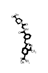 Cc1nnc(Cc2cccc(C(=O)NCC(=O)N3CCC(C(=O)O)CC3)c2)c2ccc(/C(N)=N/O)cc12